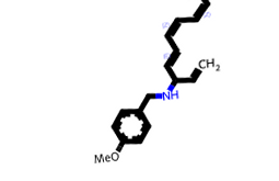 C=CC(/C=C/C=C\C=C/C)NCc1ccc(OC)cc1